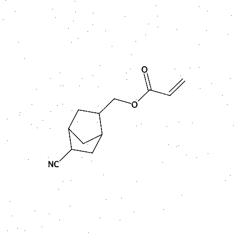 C=CC(=O)OCC1CC2CC1CC2C#N